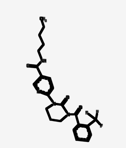 CCCCCNC(=O)c1ccc(N2CCCN(C(=O)c3ccccc3C(F)(F)F)C2=O)nc1